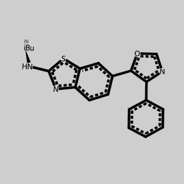 CC[C@H](C)Nc1nc2ccc(-c3ocnc3-c3ccccc3)cc2s1